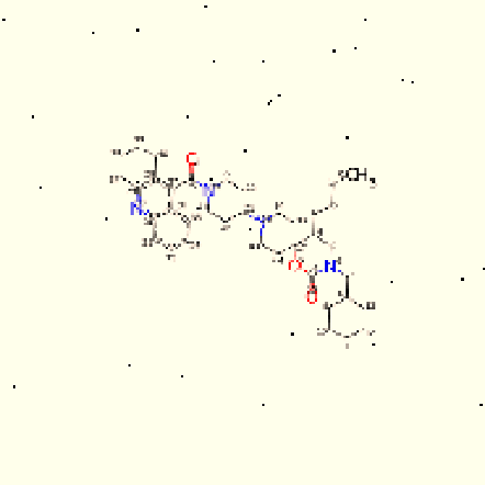 CCCCC1CN(CC2CCCCC2)C(=O)OC12CCN(C1CCN(C(=O)c3c4c(nc5ccccc35)CCCC4)CC1)CC2